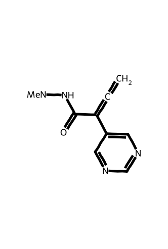 C=C=C(C(=O)NNC)c1cncnc1